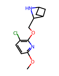 COc1ccc(Cl)c(OCC2NC3CC2C3)n1